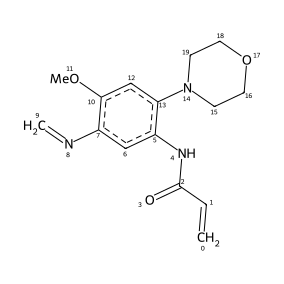 C=CC(=O)Nc1cc(N=C)c(OC)cc1N1CCOCC1